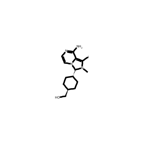 CN1C(I)=C2C(N)=NC=CN2C1[C@H]1CC[C@H](CO)CC1